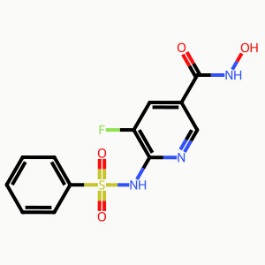 O=C(NO)c1cnc(NS(=O)(=O)c2ccccc2)c(F)c1